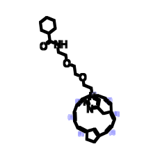 O=C(NCCOCCOCCn1cc(CC2=C\C=C/C3=CC(=C\C=C/C=C\C=C/C=C\2)\CC3)nn1)C1CCCCC1